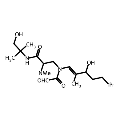 CNC(CN(/C=C(\C)C(O)CCC(C)C)C(=O)C=O)C(=O)NC(C)(C)CO